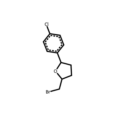 Clc1ccc(C2CCC(CBr)O2)cc1